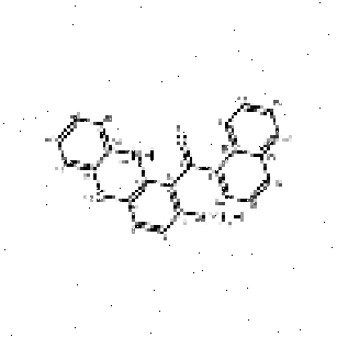 O=C(O)c1ccc2c(c1C(=O)c1cccc3ccccc13)Nc1ccccc1S2